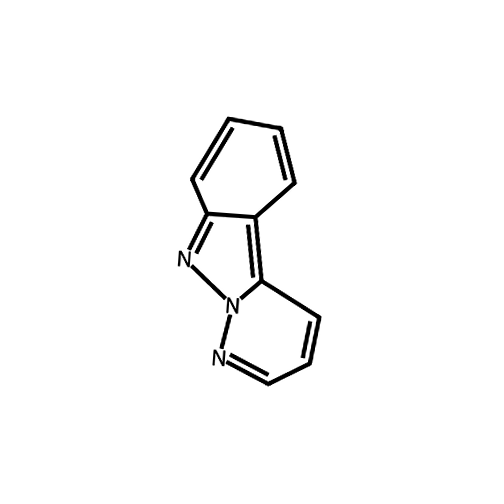 c1ccc2c(c1)nn1ncccc21